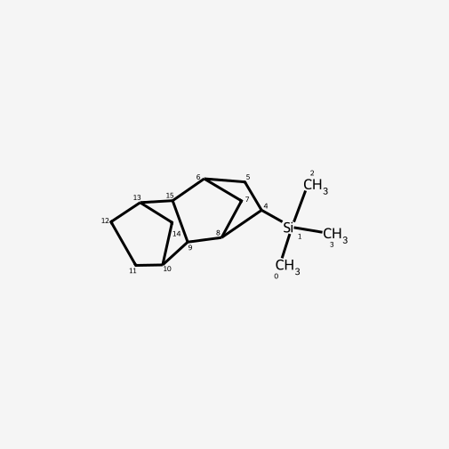 C[Si](C)(C)C1CC2CC1C1C3CCC(C3)C21